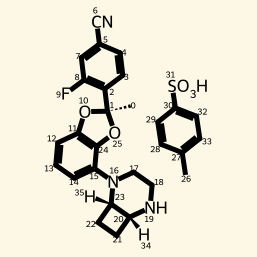 C[C@@]1(c2ccc(C#N)cc2F)Oc2cccc(N3CCN[C@@H]4CC[C@@H]43)c2O1.Cc1ccc(S(=O)(=O)O)cc1